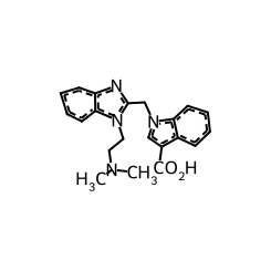 CN(C)CCn1c(Cn2cc(C(=O)O)c3ccccc32)nc2ccccc21